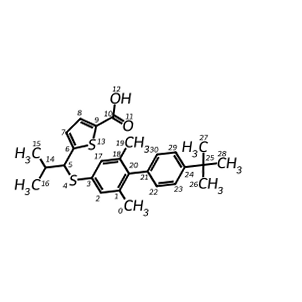 Cc1cc(SC(c2ccc(C(=O)O)s2)C(C)C)cc(C)c1-c1ccc(C(C)(C)C)cc1